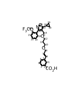 O=C(O)c1cccc(/C=C/COCCCOCc2c(-c3ccccc3OC(F)(F)F)noc2C2CC2)c1